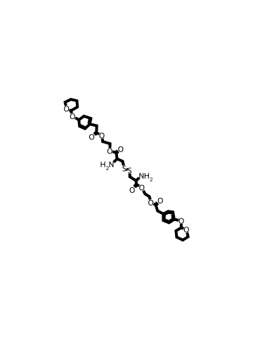 NC(CSSCC(N)C(=O)OCCOC(=O)Cc1ccc(OC2CCCCO2)cc1)C(=O)OCCOC(=O)CC1=CCC(OC2CCCCO2)C=C1